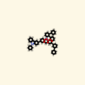 c1ccc(-c2cccc(-c3ccc(N(c4ccc(-c5ccc6c(c5)c5ccccc5n6-c5ccccc5)cc4)c4cccc(-c5ccccc5)c4-c4ccccc4-c4ccccc4)cc3)c2)cc1